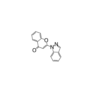 O=c1cc(-n2ncc3ccccc32)oc2ccccc12